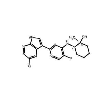 C[C@]1(O)CCCC[C@H]1Nc1nc(-c2c[nH]c3ncc(Cl)cc23)ncc1F